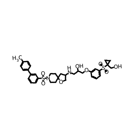 Cc1ccc(-c2cccc(S(=O)(=O)N3CCC4(CC3)CC(NCC(O)COc3cccc(S(=O)(=O)C5(CO)CC5)c3)CO4)c2)cc1